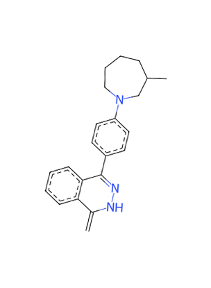 C=C1NN=C(c2ccc(N3CCCCC(C)C3)cc2)c2ccccc21